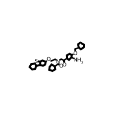 Nc1cc(C(=O)CN(CCOc2ccc3c(c2)sc2ccccc23)C(=O)c2ccccc2)ccc1OCc1ccccc1